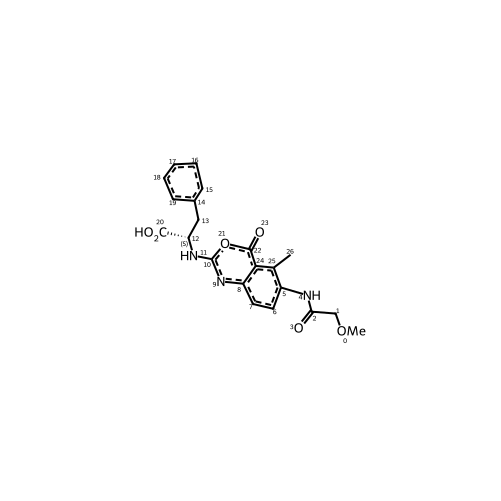 COCC(=O)Nc1ccc2nc(N[C@@H](Cc3ccccc3)C(=O)O)oc(=O)c2c1C